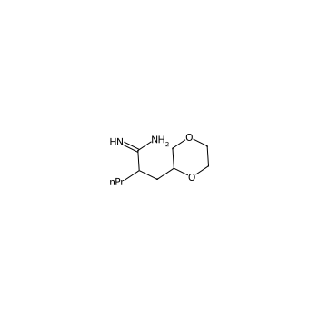 CCCC(CC1COCCO1)C(=N)N